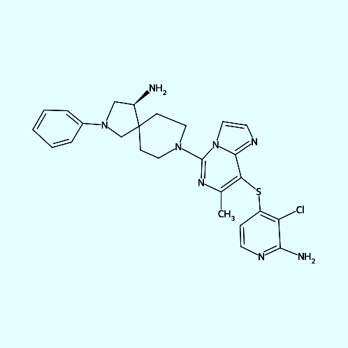 Cc1nc(N2CCC3(CC2)CN(c2ccccc2)C[C@H]3N)n2ccnc2c1Sc1ccnc(N)c1Cl